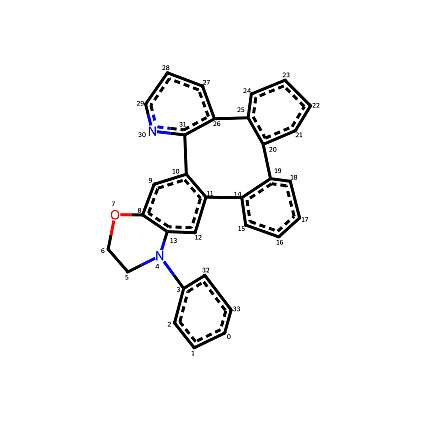 c1ccc(N2CCOc3cc4c(cc32)-c2ccccc2-c2ccccc2-c2cccnc2-4)cc1